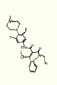 CC(C)Cn1c(=O)c(C(=O)Nc2cc(F)c(N3CCN(C)CC3)c(F)c2)c(OI)c2ccccc21